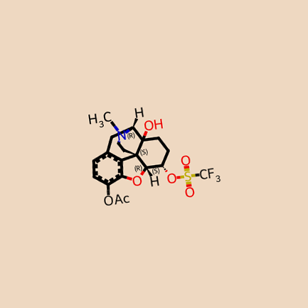 CC(=O)Oc1ccc2c3c1O[C@H]1[C@@H](OS(=O)(=O)C(F)(F)F)CCC4(O)[C@@H](C2)N(C)CC[C@]314